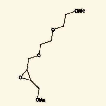 COCCOCCOCC1OC1COC